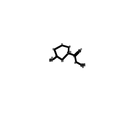 CC(C)C1CCCN(C(=O)CO)C1